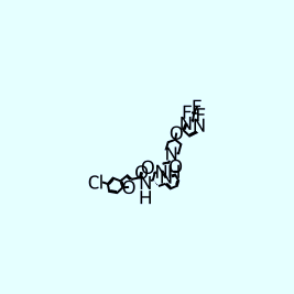 O=C(N[C@@H](Cc1ccccn1)C(=O)NCC(=O)N1CCC(Oc2ccnc(C(F)(F)F)n2)CC1)c1cc2cc(Cl)ccc2o1